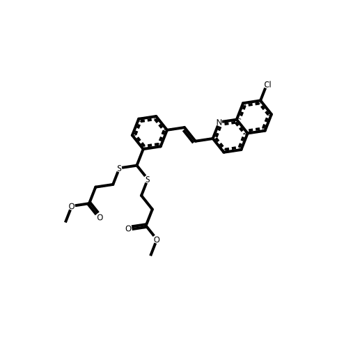 COC(=O)CCSC(SCCC(=O)OC)c1cccc(C=Cc2ccc3ccc(Cl)cc3n2)c1